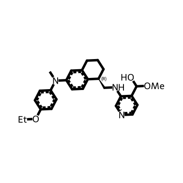 CCOc1ccc(N(C)c2ccc3c(c2)CCC[C@H]3CNc2cnccc2C(O)OC)cc1